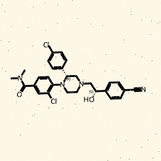 CN(C)C(=O)c1ccc(N2CCN(C[C@@H](O)c3ccc(C#N)cc3)C[C@H]2c2ccc(Cl)cc2)c(Cl)c1